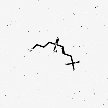 CCCCP(=O)(O)C=CCC(F)(F)F